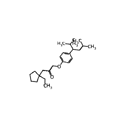 CCC1(CC(=O)COc2ccc(C(CC(C)C)C(C)C)cc2)CCCC1